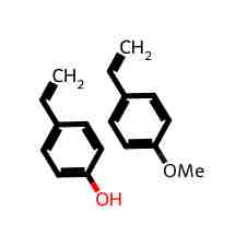 C=Cc1ccc(O)cc1.C=Cc1ccc(OC)cc1